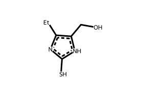 CCc1nc(S)[nH]c1CO